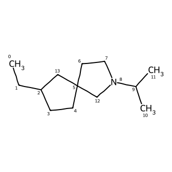 CCC1CCC2(CCN(C(C)C)C2)C1